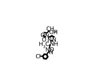 C[C@H](Nc1nccc(N2C(=O)OCC2[C@@H](C)O)n1)c1nc(-c2cccc(Cl)c2)no1